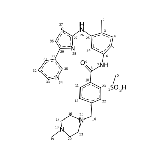 CS(=O)(=O)O.Cc1ccc(NC(=O)c2ccc(CN3CCN(C)CC3)cc2)cc1Nc1nc(-c2cccnc2)cs1